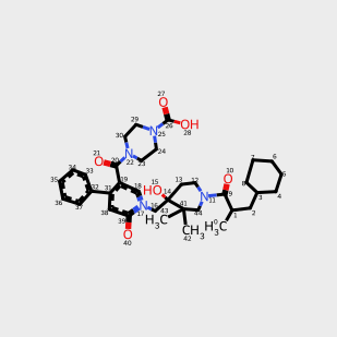 CC(CC1CCCCC1)C(=O)N1CCC(O)(Cn2cc(C(=O)N3CCN(C(=O)O)CC3)c(-c3ccccc3)cc2=O)C(C)(C)C1